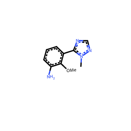 COc1c(N)cccc1-c1ncnn1C